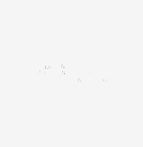 C=CC1=C(/C=C(\C)C(C)N2CCC(n3cc(CNC(C)O)cn3)CC2)OCC1